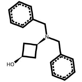 O[C@H]1C[C@@H](N(Cc2ccccc2)Cc2ccccc2)C1